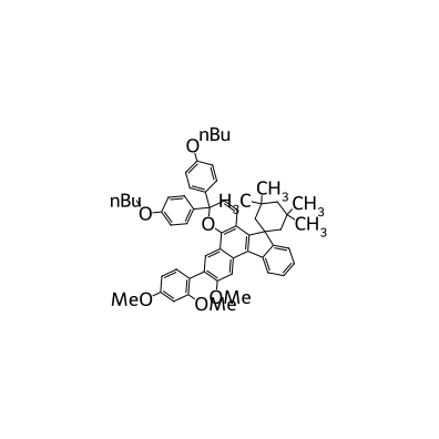 CCCCOc1ccc(C2(c3ccc(OCCCC)cc3)C=Cc3c4c(c5cc(OC)c(-c6ccc(OC)cc6OC)cc5c3O2)-c2ccccc2C42CC(C)(C)CC(C)(C)C2)cc1